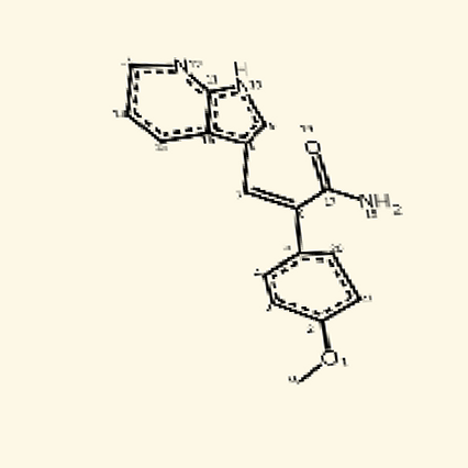 COc1ccc(C(=Cc2c[nH]c3ncccc23)C(N)=O)cc1